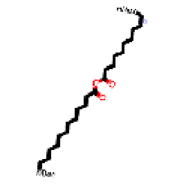 CCCCCC/C=C\CCCCCCCC(=O)OC(=O)CCCCCCCCCCCCCCCCCCCCC